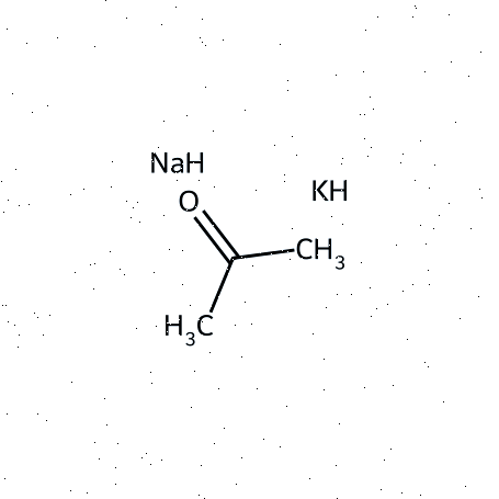 CC(C)=O.[KH].[NaH]